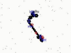 C=C1CCC(n2c(=O)n(C)c3c(CCCOCCCCCCCNC(=O)CCCN4CCN(Cc5ccc(-c6cn(C7CCCCC7)c7nc(NCCCC)ncc67)cc5)CC4)cccc32)C(=O)N1